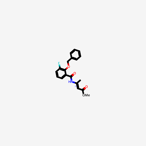 COC(=O)/C=C(\C)NC(=O)c1cccc(F)c1OCc1ccccc1